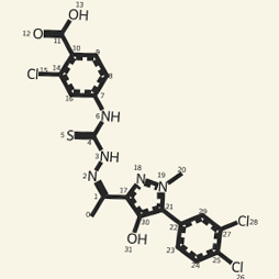 CC(=NNC(=S)Nc1ccc(C(=O)O)c(Cl)c1)c1nn(C)c(-c2ccc(Cl)c(Cl)c2)c1O